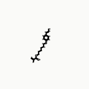 C=C(C)C(=O)OCCCCCCOc1ccc(/C=C/C)cc1